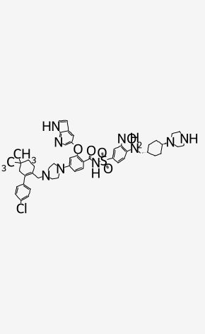 CC1(C)CCC(CN2CCN(c3ccc(C(=O)NS(=O)(=O)c4ccc(NC[C@H]5CC[C@H](N6CCNCC6)CC5)c([N+](=O)[O-])c4)c(Oc4cnc5[nH]ccc5c4)c3)CC2)=C(c2ccc(Cl)cc2)C1